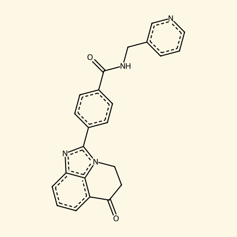 O=C(NCc1cccnc1)c1ccc(-c2nc3cccc4c3n2CCC4=O)cc1